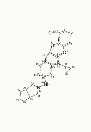 O=c1c(Oc2ccccc2Cl)cc2cnc(NN3CC4CCCC4C3)nc2n1C1CC1